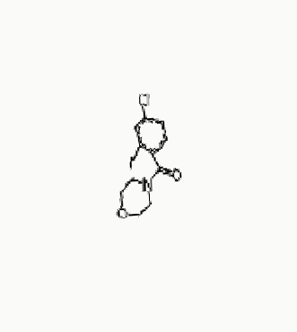 O=C(c1ccc(Cl)cc1I)N1CCOCC1